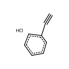 C#Cc1ccccc1.Cl